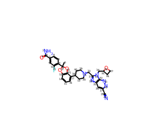 CC1(c2ccc(C(N)=O)cc2F)Oc2cccc(C3CCN(Cc4nc5cc(C#N)nnc5n4CC4CCO4)CC3)c2O1